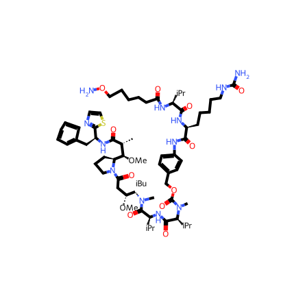 CC[C@H](C)[C@@H]([C@@H](CC(=O)N1CCC[C@H]1[C@H](OC)[C@@H](C)C(=O)N[C@@H](Cc1ccccc1)c1nccs1)OC)N(C)C(=O)[C@@H](NC(=O)[C@H](C(C)C)N(C)C(=O)OCc1ccc(NC(=O)[C@H](CCCCCNC(N)=O)NC(=O)[C@@H](NC(=O)CCCCCON)C(C)C)cc1)C(C)C